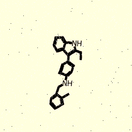 CCc1[nH]c2ccccc2c1-c1ccc(NCc2ccccc2C)cc1